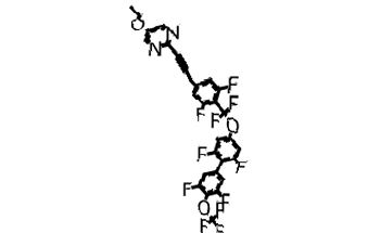 CCOc1cnc(C#Cc2cc(F)c(C(F)(F)Oc3cc(F)c(-c4cc(F)c(OC(F)(F)F)c(F)c4)c(F)c3)c(F)c2)nc1